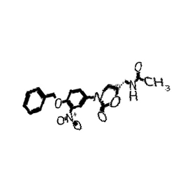 CC(=O)NC[C@H]1CN(c2ccc(OCc3ccccc3)c([N+](=O)[O-])c2)C(=O)O1